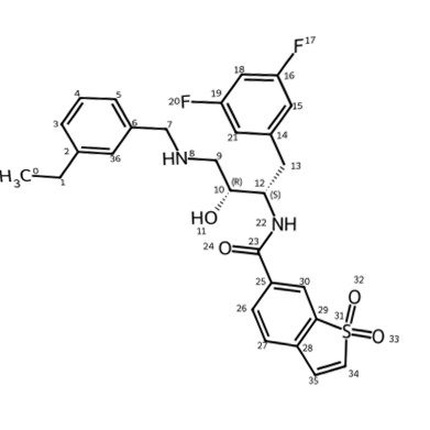 CCc1cccc(CNC[C@@H](O)[C@H](Cc2cc(F)cc(F)c2)NC(=O)c2ccc3c(c2)S(=O)(=O)C=C3)c1